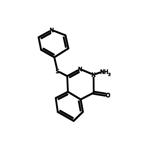 Nn1nc(Sc2ccncc2)c2ccccc2c1=O